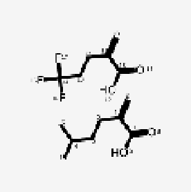 C=C(CCC(C)C)C(=O)O.C=C(CCC(F)(F)F)C(=O)O